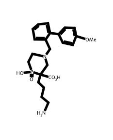 COc1ccc(-c2ccccc2CN2CCP(=O)(O)C(CCCCN)(C(=O)O)C2)cc1